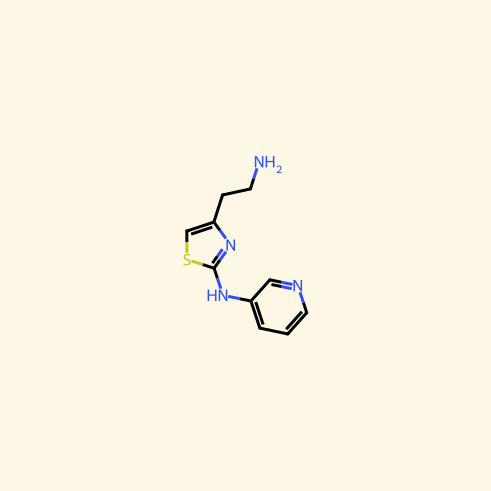 NCCc1csc(Nc2cccnc2)n1